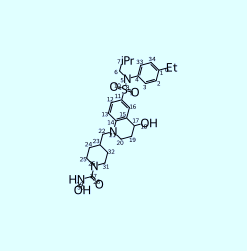 CCc1ccc(N(CC(C)C)S(=O)(=O)c2ccc3c(c2)C(O)CCN3CC2CCN(C(=O)NO)CC2)cc1